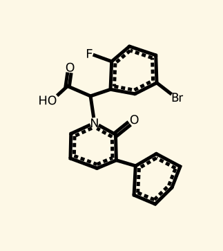 O=C(O)C(c1cc(Br)ccc1F)n1cccc(-c2ccccc2)c1=O